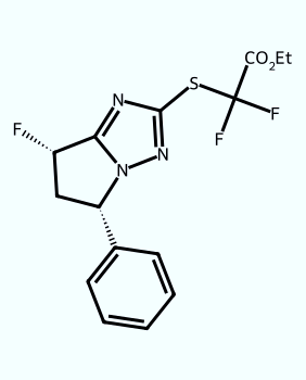 CCOC(=O)C(F)(F)Sc1nc2n(n1)[C@H](c1ccccc1)C[C@@H]2F